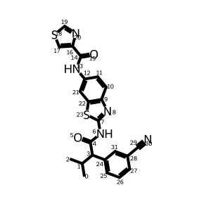 CC(C)C(C(=O)Nc1nc2ccc(NC(=O)c3cscn3)cc2s1)c1cccc(C#N)c1